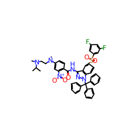 CC(C)N(C)CCN(C)c1ccc(C(=O)Nc2nn(C(c3ccccc3)(c3ccccc3)c3ccccc3)c3ccc(S(=O)(=O)c4cc(F)cc(F)c4)cc23)c([N+](=O)[O-])c1